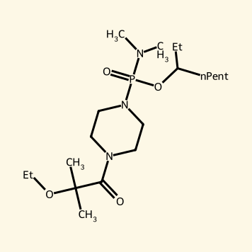 CCCCCC(CC)OP(=O)(N(C)C)N1CCN(C(=O)C(C)(C)OCC)CC1